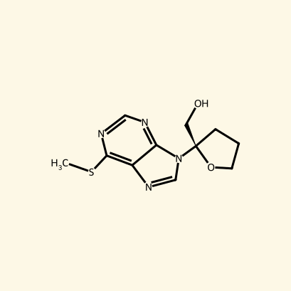 CSc1ncnc2c1ncn2[C@]1(CO)CCCO1